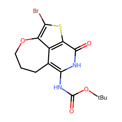 CC(C)(C)OC(=O)Nc1[nH]c(=O)c2sc(Br)c3c2c1CCCO3